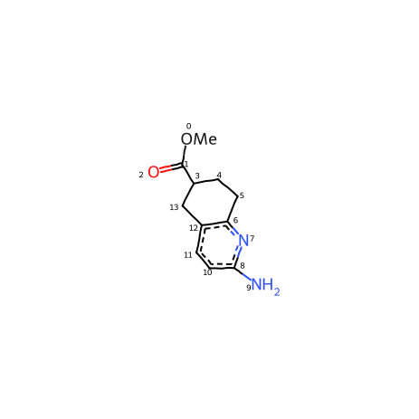 COC(=O)C1CCc2nc(N)ccc2C1